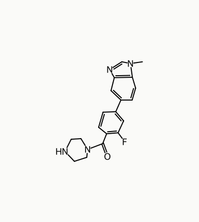 Cn1cnc2cc(-c3ccc(C(=O)N4CCNCC4)c(F)c3)ccc21